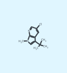 Cn1cc(C(C)(C)C)c2cc(Cl)cnc21